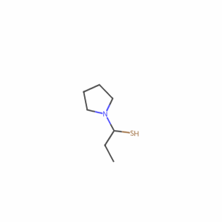 CCC(S)N1CCCC1